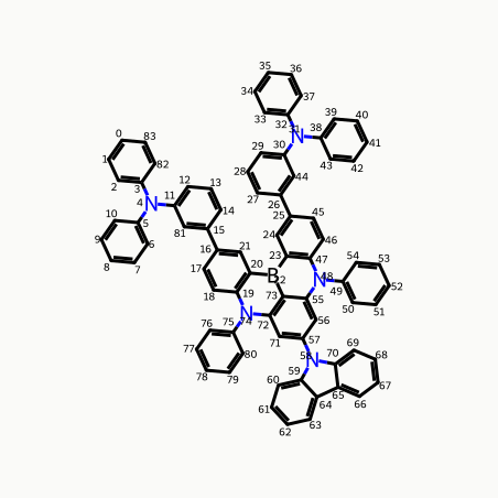 c1ccc(N(c2ccccc2)c2cccc(-c3ccc4c(c3)B3c5cc(-c6cccc(N(c7ccccc7)c7ccccc7)c6)ccc5N(c5ccccc5)c5cc(-n6c7ccccc7c7ccccc76)cc(c53)N4c3ccccc3)c2)cc1